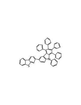 c1ccc(-c2c(-c3ccccc3)c(-c3ccccc3)c3c(c2-c2ccccc2)c2cc(-c4ccc5c(c4)sc4ccccc45)ccc2n3-c2ccccc2)cc1